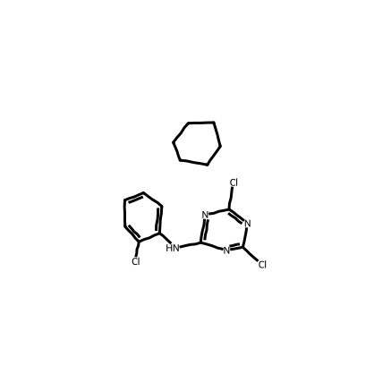 C1CCCCC1.Clc1nc(Cl)nc(Nc2ccccc2Cl)n1